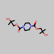 CC(C)(O)COC(=O)N1CCN(C(=O)OCC(C)(C)O)CC1